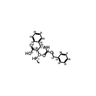 CPO[C@@H](C(=O)O)[C@@H](NC(=O)OCc1ccccc1)c1ccccc1